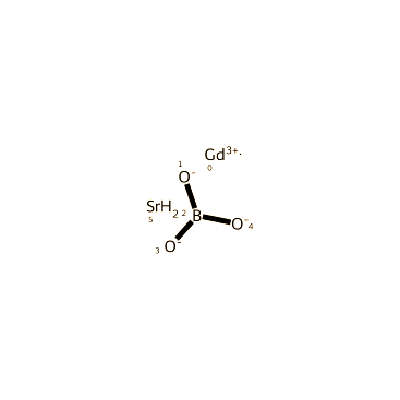 [Gd+3].[O-]B([O-])[O-].[SrH2]